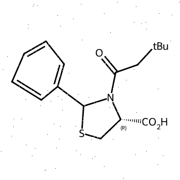 CC(C)(C)CC(=O)N1C(c2ccccc2)SC[C@H]1C(=O)O